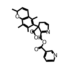 Cc1c(C)c(C2(C(=O)O)CC=CN=C2COC(=O)c2cccnc2)c(C)c2c1OC(C)C=C2